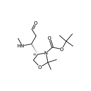 CNC(CC=O)[C@H]1COC(C)(C)N1C(=O)OC(C)(C)C